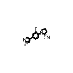 Cn1cc(-c2ccc(N3CCC[C@@H]3C#N)c(F)c2)cn1